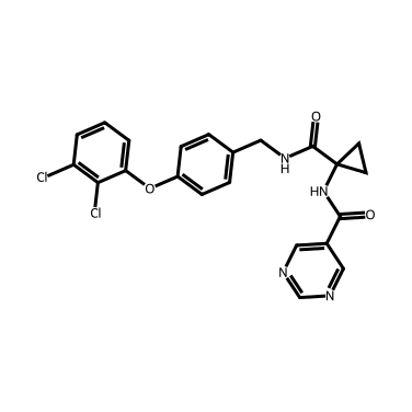 O=C(NC1(C(=O)NCc2ccc(Oc3cccc(Cl)c3Cl)cc2)CC1)c1cncnc1